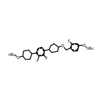 CCCCOc1ccc(COC2CCC(c3ccc(C4CCC(OCCCC)CC4)c(F)c3F)CC2)c(F)c1